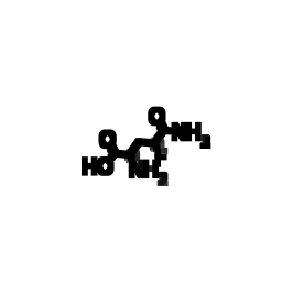 NC(=O)[C@@H](F)C[C@@H](N)C(=O)O